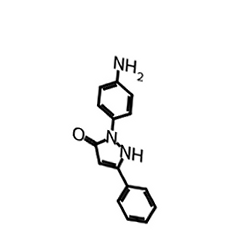 Nc1ccc(-n2[nH]c(-c3ccccc3)cc2=O)cc1